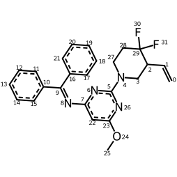 C=CC1CN(c2nc(N=C(c3ccccc3)c3ccccc3)cc(OC)n2)CCC1(F)F